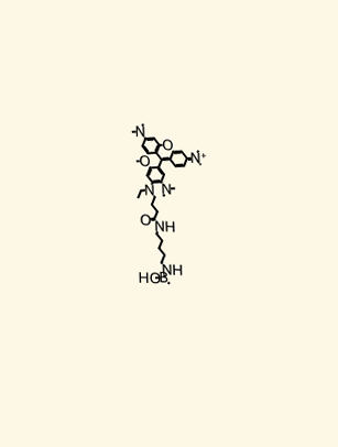 CCN(CCCC(=O)NCCCCCNB(C)O)c1cc(OC)c(-c2c3ccc(=[N+](C)C)cc-3oc3cc(N(C)C)ccc23)cc1N(C)C